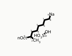 CCCCCCCCC(C)CCCCC[CH2][Na].O=S(=O)(O)O